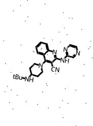 CC(C)(C)NC1CCN(c2c(C#N)c(Nc3cnccn3)nc3ccccc23)CC1